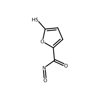 O=NC(=O)c1ccc(S)o1